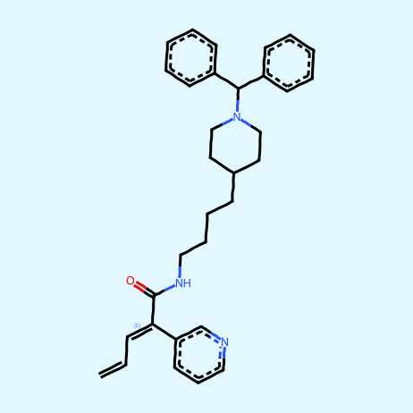 C=C/C=C(/C(=O)NCCCCC1CCN(C(c2ccccc2)c2ccccc2)CC1)c1cccnc1